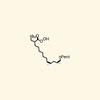 CCCCC/C=C\C/C=C\CCCCCCC(CC(C)(C)C)C(=O)OO